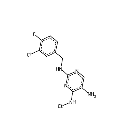 [CH2]CNc1nc(NCc2ccc(F)c(Cl)c2)ncc1N